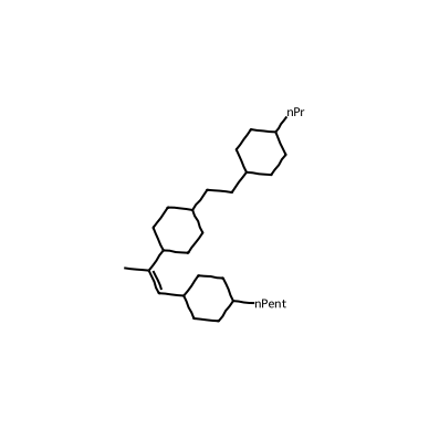 CCCCCC1CCC(C=C(C)C2CCC(CCC3CCC(CCC)CC3)CC2)CC1